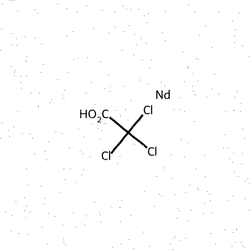 O=C(O)C(Cl)(Cl)Cl.[Nd]